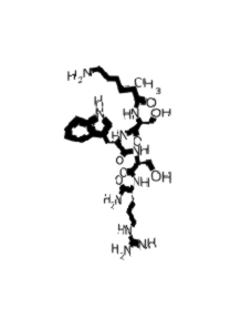 C[C@@H](CCCCN)C(=O)N[C@@H](CO)C(=O)N[C@H](Cc1c[nH]c2ccccc12)C(=O)N[C@@H](CO)C(=O)N[C@H](CCCNC(=N)N)C(N)=O